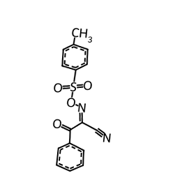 Cc1ccc(S(=O)(=O)ON=C(C#N)C(=O)c2ccccc2)cc1